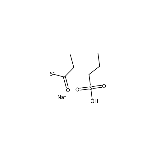 CCC(=O)[S-].CCCS(=O)(=O)O.[Na+]